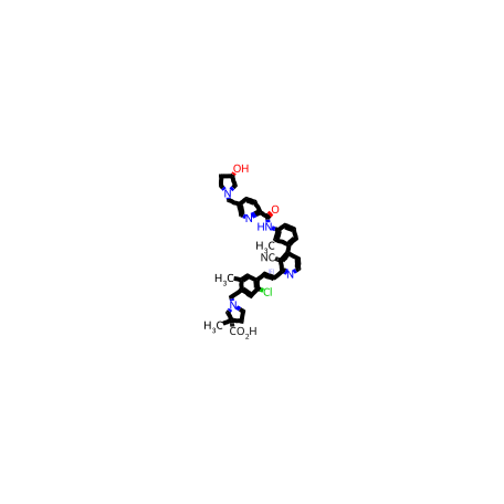 Cc1cc(/C=C/c2nccc(-c3cccc(NC(=O)c4ccc(CN5CCC(O)C5)cn4)c3C)c2C#N)c(Cl)cc1CN1CCC(C)(C(=O)O)C1